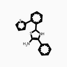 NC1=C(c2ccccc2)NC(c2ccccc2-c2cccs2)S1